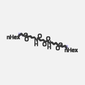 CCCCCC/C=C\COC(=O)CCCNC(=O)CCC(=O)C(=O)NCCCC(=O)OC/C=C\CCCCCC